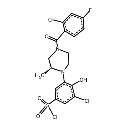 C[C@H]1CN(C(=O)c2ccc(F)cc2Cl)CCN1c1cc(S(=O)(=O)Cl)cc(Cl)c1O